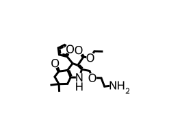 CCOC(=O)C1=C(COCCN)NC2=C(C(=O)CC(C)(C)C2)C1c1ccco1